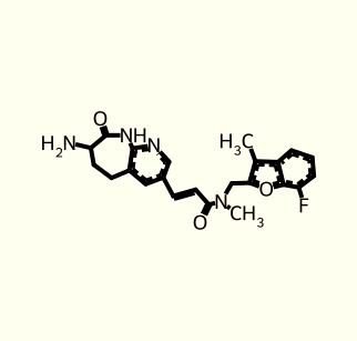 Cc1c(CN(C)C(=O)/C=C/c2cnc3c(c2)CCC(N)C(=O)N3)oc2c(F)cccc12